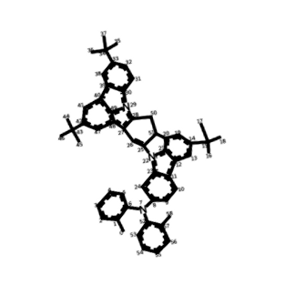 Cc1ccccc1N(c1ccc2c3cc(C(C)(C)C)cc4c3n(c2c1)C1=Cc2c(n3c5ccc(C(C)(C)C)cc5c5cc(C(C)(C)C)cc2c53)CC14)c1ccccc1C